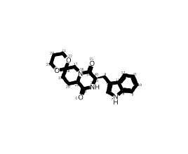 O=C1N[C@H](Cc2c[nH]c3ccccc23)C(=O)N2CC3(CCC12)OCCCO3